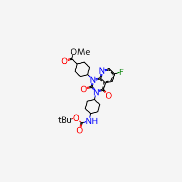 COC(=O)C1CCC(n2c(=O)n(C3CCC(NC(=O)OC(C)(C)C)CC3)c(=O)c3cc(F)cnc32)CC1